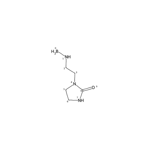 BNCCN1CCNC1=O